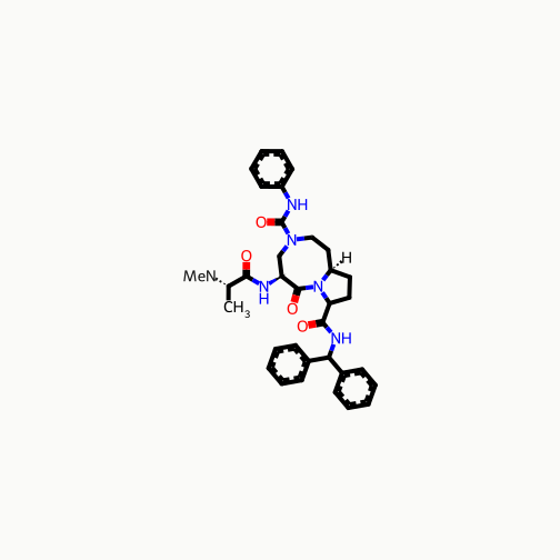 CN[C@@H](C)C(=O)N[C@H]1CN(C(=O)Nc2ccccc2)CC[C@H]2CCC(C(=O)NC(c3ccccc3)c3ccccc3)N2C1=O